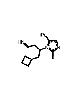 Cc1ncc(C(C)C)n1C(CC=N)CC1CCC1